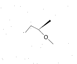 [CH2]C[C@@H](C)OC